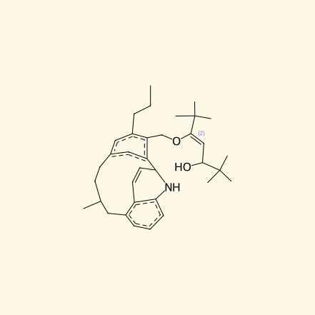 CCCc1cc2cc(c1CO/C(=C\C(O)C(C)(C)C)C(C)(C)C)C1C=Cc3c(cccc3N1)CC(C)CC2